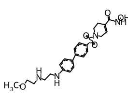 COCCNCCNc1ccc(-c2ccc(S(=O)(=O)N3CC=C(C(=O)NO)CC3)cc2)cc1